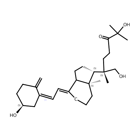 C=C1CC[C@H](O)C/C1=C/C=C1CCC[C@@]2(C)C1CC[C@@H]2[C@@](C)(CO)CCC(=O)C(C)(C)O